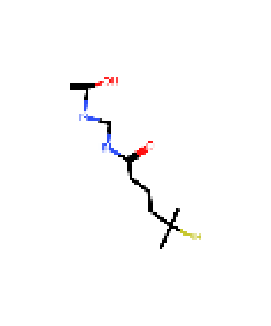 C=C(O)NCNC(=O)CCCC(C)(C)S